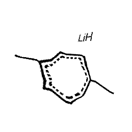 Cc1ccc(C)cc1.[LiH]